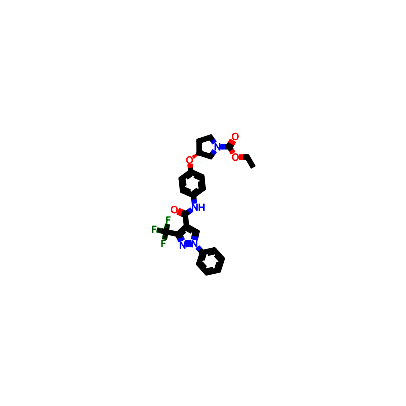 CCOC(=O)N1CC[C@H](Oc2ccc(NC(=O)c3cn(-c4ccccc4)nc3C(F)(F)F)cc2)C1